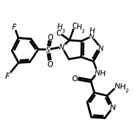 CC1(C)c2[nH]nc(NC(=O)c3cccnc3N)c2CN1S(=O)(=O)c1cc(F)cc(F)c1